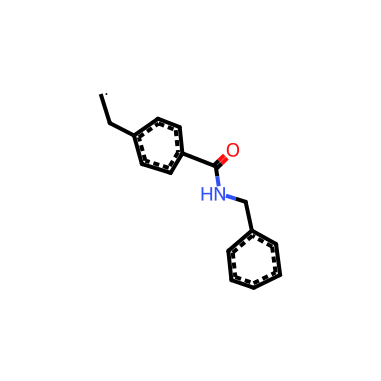 [CH2]Cc1ccc(C(=O)NCc2ccccc2)cc1